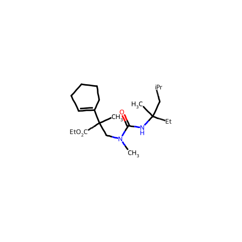 CCOC(=O)C(C)(CN(C)C(=O)NC(C)(CC)CC(C)C)C1=CCCCC1